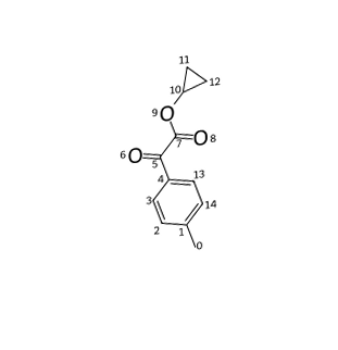 Cc1ccc(C(=O)C(=O)OC2CC2)cc1